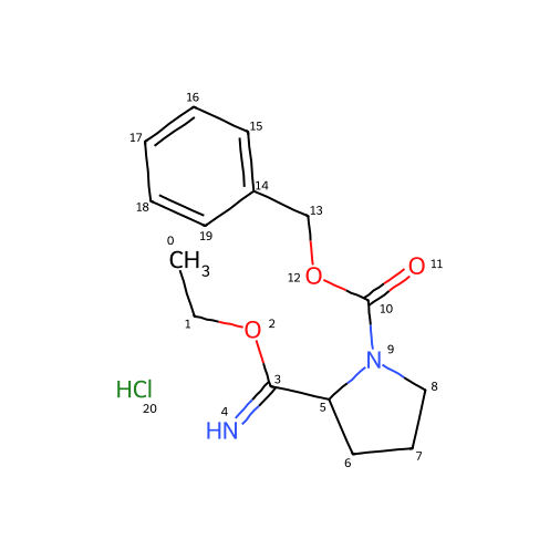 CCOC(=N)C1CCCN1C(=O)OCc1ccccc1.Cl